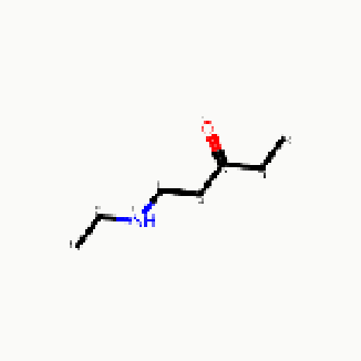 [CH2]CC(=O)CCNCC